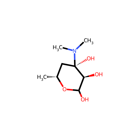 C[C@@H]1C[C@@](O)(N(C)C)[C@@H](O)C(O)O1